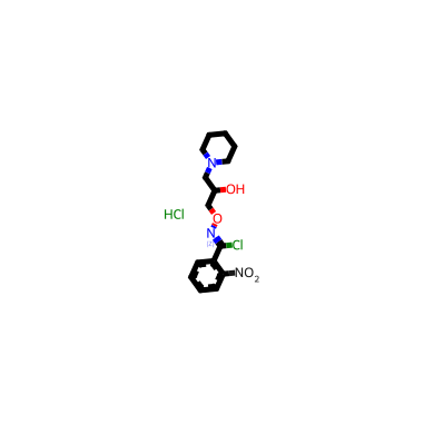 Cl.O=[N+]([O-])c1ccccc1/C(Cl)=N/OCC(O)CN1CCCCC1